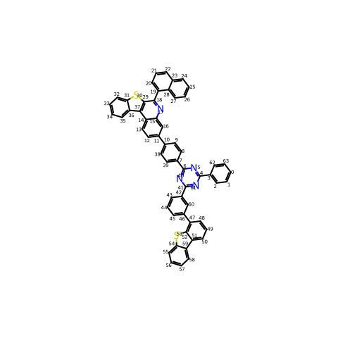 c1ccc(-c2nc(-c3ccc(-c4ccc5c(c4)nc(-c4cccc6ccccc46)c4sc6ccccc6c45)cc3)nc(-c3cccc(-c4cccc5c4sc4ccccc45)c3)n2)cc1